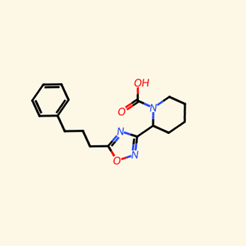 O=C(O)N1CCCCC1c1noc(CCCc2ccccc2)n1